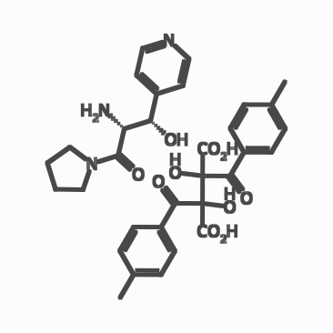 Cc1ccc(C(=O)C(O)(C(=O)O)C(O)(C(=O)O)C(=O)c2ccc(C)cc2)cc1.N[C@@H](C(=O)N1CCCC1)[C@@H](O)c1ccncc1